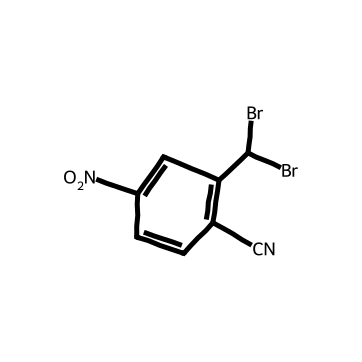 N#Cc1ccc([N+](=O)[O-])cc1C(Br)Br